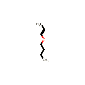 C[CH]CCOC=CC